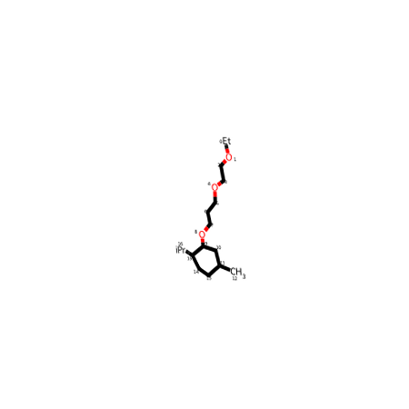 CCOCCOCCCOC1CC(C)CCC1C(C)C